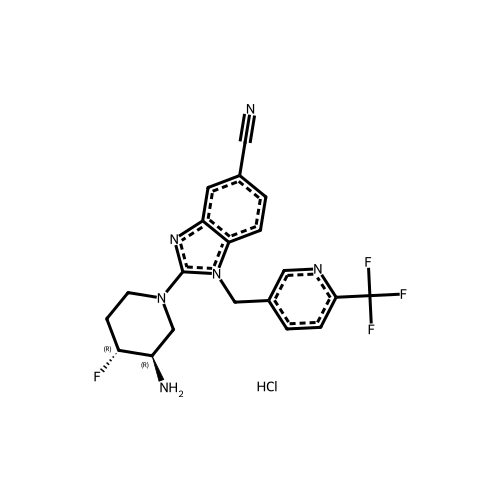 Cl.N#Cc1ccc2c(c1)nc(N1CC[C@@H](F)[C@H](N)C1)n2Cc1ccc(C(F)(F)F)nc1